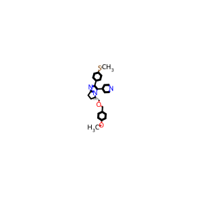 COc1ccc(COC[C@@H]2CCc3nc(-c4ccc(SC)cc4)c(-c4ccncc4)n32)cc1